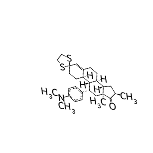 C[C@@H]1C[C@H]2[C@@H]3CCC4=CC5(CC[C@@H]4[C@H]3[C@@H](c3ccc(N(C)C)cc3)C[C@]2(C)C1=O)SCCS5